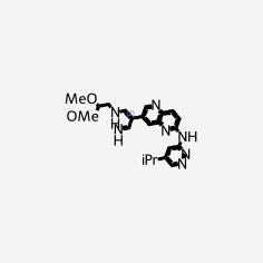 COC(CN/C=C(\C=N)c1cnc2ccc(Nc3cc(C(C)C)cnn3)nc2c1)OC